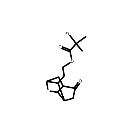 CCC(C)(C)C(=O)OCCC1C2CC3C(=O)CC1C3O2